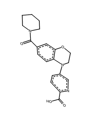 O=C(O)c1ccc(N2CCOc3cc(C(=O)N4CCCCC4)ccc32)cn1